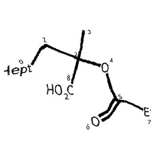 CCCCCCCCC(C)(OC(=O)CC)C(=O)O